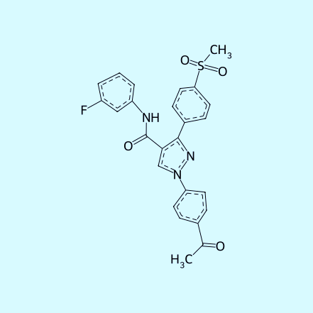 CC(=O)c1ccc(-n2cc(C(=O)Nc3cccc(F)c3)c(-c3ccc(S(C)(=O)=O)cc3)n2)cc1